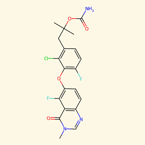 Cn1cnc2ccc(Oc3c(F)ccc(CC(C)(C)OC(N)=O)c3Cl)c(F)c2c1=O